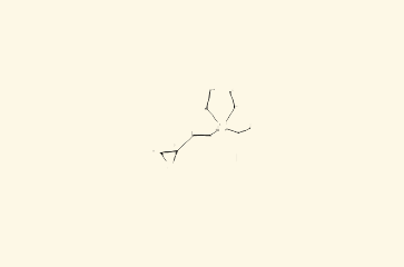 CC[N+](CC)(CC)CCC1CO1.[Cl-]